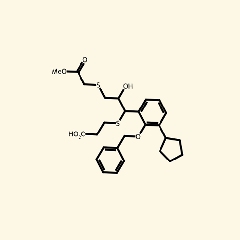 COC(=O)CSCC(O)C(SCCC(=O)O)c1cccc(C2CCCC2)c1OCc1ccccc1